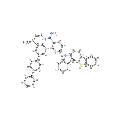 C=C(/C=C\N=C(/N)c1ccc(-n2c3ccccc3c3c4sc5ccccc5c4ccc32)cc1)c1cccc(-c2ccc(-c3ccccc3)cc2)c1